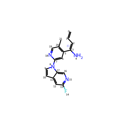 C=C/C=C(/N)c1cc(-n2ccc3cc(F)ncc32)ncc1C